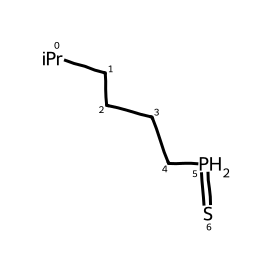 CC(C)CCCC[PH2]=S